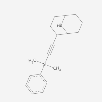 C[Si](C)(C#CC1CCC2BC1CCC2)c1ccccc1